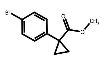 COC(=O)C1(c2ccc(Br)cc2)CC1